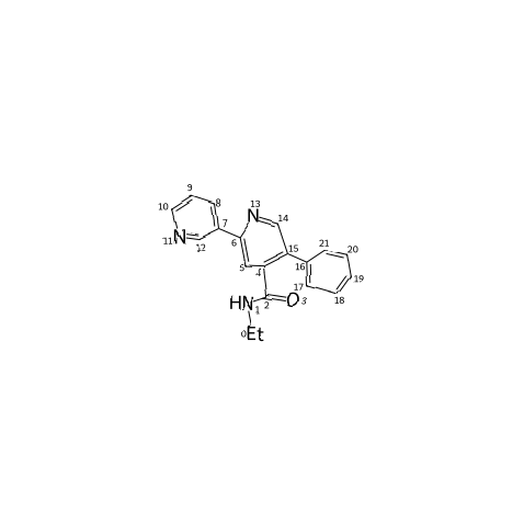 CCNC(=O)c1cc(-c2cccnc2)ncc1-c1ccccc1